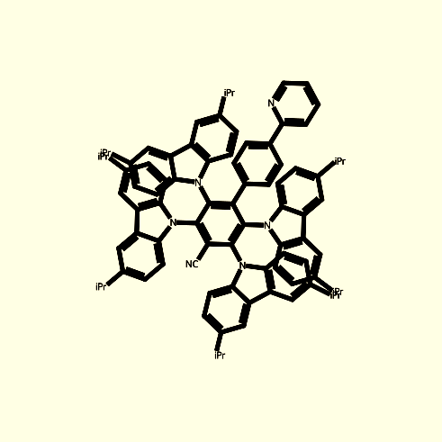 CC(C)c1ccc2c(c1)c1cc(C(C)C)ccc1n2-c1c(C#N)c(-n2c3ccc(C(C)C)cc3c3cc(C(C)C)ccc32)c(-n2c3ccc(C(C)C)cc3c3cc(C(C)C)ccc32)c(-c2ccc(-c3ccccn3)cc2)c1-n1c2ccc(C(C)C)cc2c2cc(C(C)C)ccc21